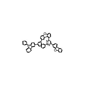 c1ccc(-c2nc(-c3ccc4c(c3)oc3ccccc34)cc(-c3cccc4oc5ccc(-c6cccc(-c7ccc8c(c7)c7ccccc7n8-c7ccccc7)c6)cc5c34)n2)cc1